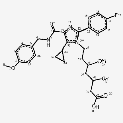 COc1ccc(CNC(=O)c2nc(-c3ccc(F)cc3)n(CCC(O)CC(O)CC(=O)O)c2C2CC2)cc1